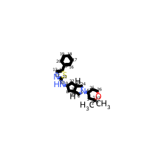 CC1(C)CC(N2C[C@H]3CC(Nc4ncc(-c5ccccc5)s4)C[C@H]3C2)CCO1